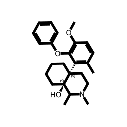 COc1ccc(C)c([C@@]23CCCC[C@@]2(O)C(C)N(C)CC3)c1Oc1ccccc1